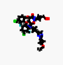 O=C(NC12CC(CO)(C1)C2)C(Oc1ccc(Cl)c(F)c1)C(Oc1ccc(Cl)c(F)c1)C(=O)NC12CC(c3cnn(C4CC(OC(F)(F)F)C4)n3)(C1)C2